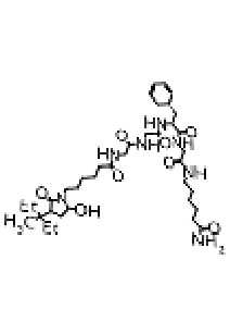 CCC(C)(CC)C1CC(O)N(CCCCCC(=O)NCC(=O)NCC(=O)NC(C[C@@H]2C=CC=CC2)C(=O)NCC(=O)NCCCCCC(N)=O)C1=O